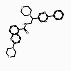 O=C(NCC(c1cnc(-c2ccccc2)nc1)N1CCOCC1)c1cccc2nc(N3CCOCC3)ccc12